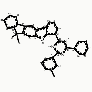 Cc1cccc(-c2nc(-c3ccccc3)nc(-c3cccc4c3oc3cc5c(cc34)-c3ccccc3C5(C)C)n2)c1